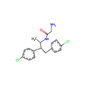 CC(NC(=O)CN)C(Cc1ccc(Cl)cc1)c1ccc(Cl)cc1